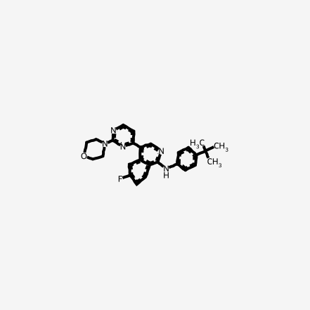 CC(C)(C)c1ccc(Nc2ncc(-c3ccnc(N4CCOCC4)n3)c3cc(F)ccc23)cc1